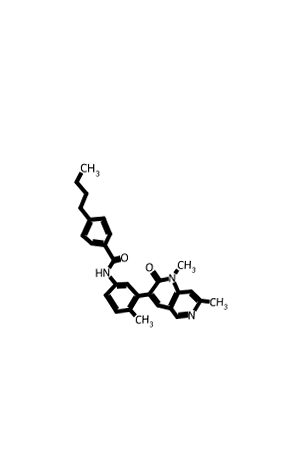 CCCCc1ccc(C(=O)Nc2ccc(C)c(-c3cc4cnc(C)cc4n(C)c3=O)c2)cc1